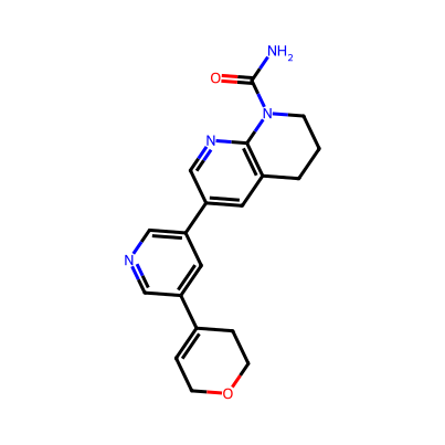 NC(=O)N1CCCc2cc(-c3cncc(C4=CCOCC4)c3)cnc21